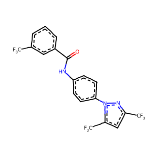 O=C(Nc1ccc(-n2nc(C(F)(F)F)cc2C(F)(F)F)cc1)c1cccc(C(F)(F)F)c1